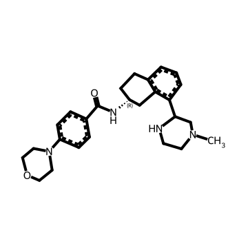 CN1CCNC(c2cccc3c2C[C@H](NC(=O)c2ccc(N4CCOCC4)cc2)CC3)C1